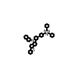 c1ccc(-c2nc(-c3ccccc3)nc(-c3ccc(-c4ccc5c(c4)c4ccc6c(ccc7c8ccccc8sc76)c4n5-c4ccc5ccccc5c4)cc3)n2)cc1